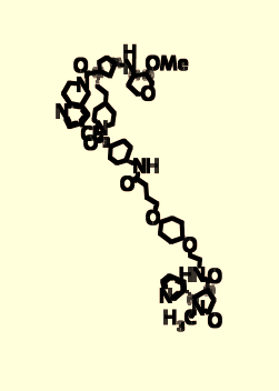 CO[C@@H]1COCC[C@@H]1N[C@@H]1CC[C@](CCC2CCN(C(=O)[C@H]3CC[C@H](NC(=O)CCCO[C@H]4CC[C@H](OCCNC(=O)[C@H]5CC(=O)N(C)[C@@H]5c5cccnc5)CC4)CC3)CC2)(C(=O)N2CCc3ncc(C(F)(F)F)cc3C2)C1